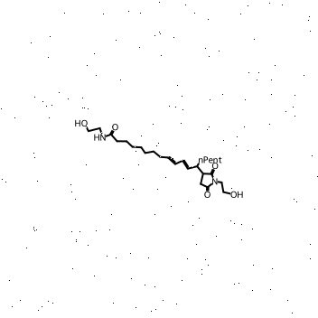 CCCCCC(/C=C/C=C/CCCCCCCC(=O)NCCO)C1CC(=O)N(CCO)C1=O